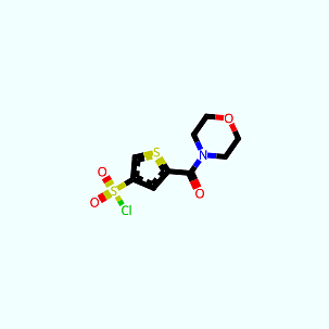 O=C(c1cc(S(=O)(=O)Cl)cs1)N1CCOCC1